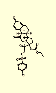 CCOC(=O)O[C@]1(C(=O)COS(=O)(=O)c2ccc(Cl)cc2)CC[C@H]2[C@@H]3CCC4=CC(=O)C=C[C@]4(C)[C@H]3C(=O)C[C@@]21C